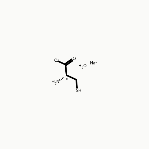 N[C@@H](CS)C(=O)[O-].O.[Na+]